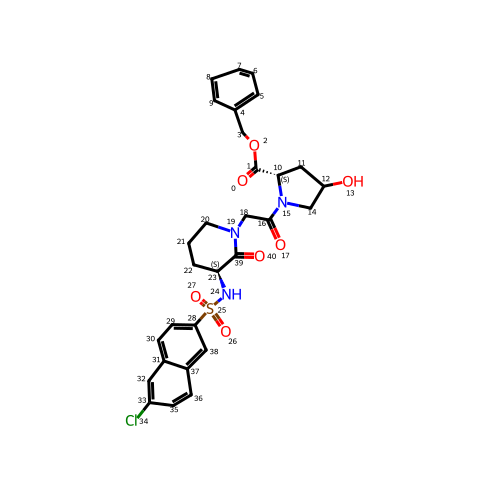 O=C(OCc1ccccc1)[C@@H]1CC(O)CN1C(=O)CN1CCC[C@H](NS(=O)(=O)c2ccc3cc(Cl)ccc3c2)C1=O